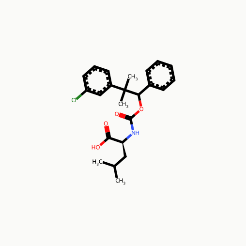 CC(C)C[C@H](NC(=O)OC(c1ccccc1)C(C)(C)c1cccc(Cl)c1)C(=O)O